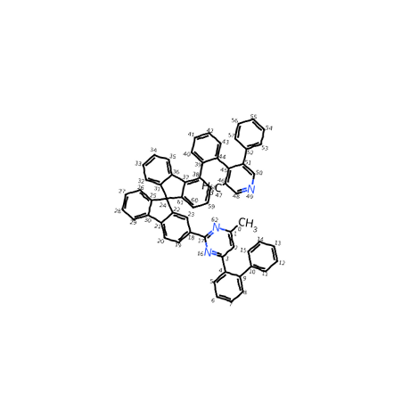 Cc1cc(-c2ccccc2-c2ccccc2)nc(-c2ccc3c(c2)C2(c4ccccc4-3)c3ccccc3-c3c(-c4ccccc4-c4c(C)cncc4-c4ccccc4)cccc32)n1